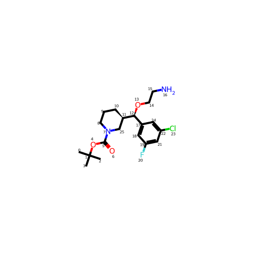 CC(C)(C)OC(=O)N1CCC[C@@H]([C@@H](OCCN)c2cc(F)cc(Cl)c2)C1